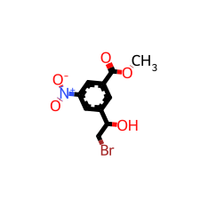 COC(=O)c1cc(C(O)CBr)cc([N+](=O)[O-])c1